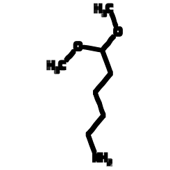 COC(CCCCN)OC